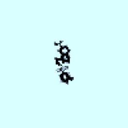 CN(C)C1CCc2ccc3c(ccn3S(=O)(=O)c3ccc(F)c(F)c3)c2C1